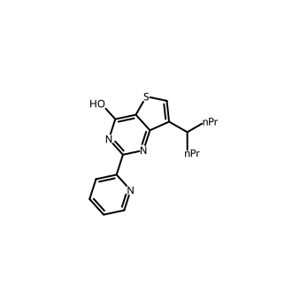 CCCC(CCC)c1csc2c(O)nc(-c3ccccn3)nc12